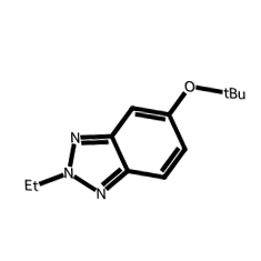 CCn1nc2ccc(OC(C)(C)C)cc2n1